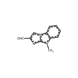 Cn1c2ccccc2n2cc(C=O)nc12